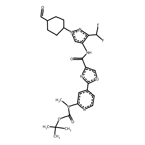 CN(C(=O)OC(C)(C)C)c1cc(-c2nc(C(=O)Nc3cn(C4CCC(C=O)CC4)nc3C(F)F)co2)ccn1